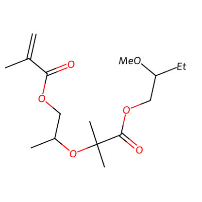 C=C(C)C(=O)OCC(C)OC(C)(C)C(=O)OCC(CC)OC